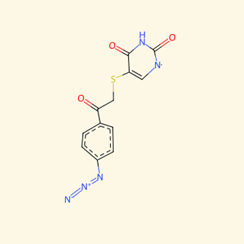 [N-]=[N+]=Nc1ccc(C(=O)CSC2=C[N]C(=O)NC2=O)cc1